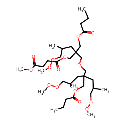 CCCC(=O)OCC(COCC(COC(=O)CCC)(CC(C)COOC)CC(C)COOC)(COC(=O)CCC(=O)OC)CC(C)COOC